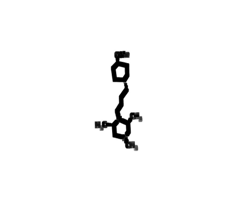 CO[C@H]1CC[C@H](CCCCN2[C@H](C)CN(C)C[C@@H]2C)CC1